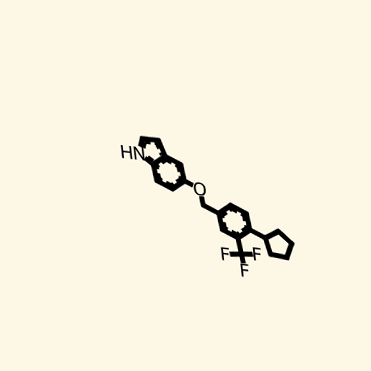 FC(F)(F)c1cc(COc2ccc3[nH]ccc3c2)ccc1C1CCCC1